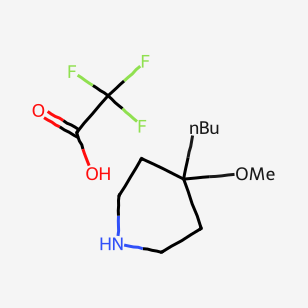 CCCCC1(OC)CCNCC1.O=C(O)C(F)(F)F